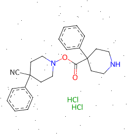 Cl.Cl.N#CC1(c2ccccc2)CCN(OC(=O)C2(c3ccccc3)CCNCC2)CC1